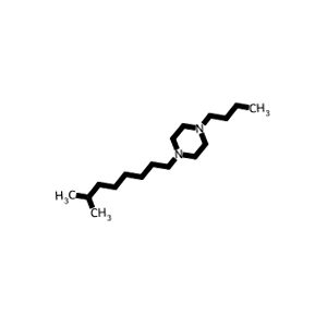 CCCCN1CCN(CCCCCCC(C)C)CC1